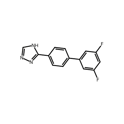 Fc1cc(F)cc(-c2ccc(-c3nnc[nH]3)cc2)c1